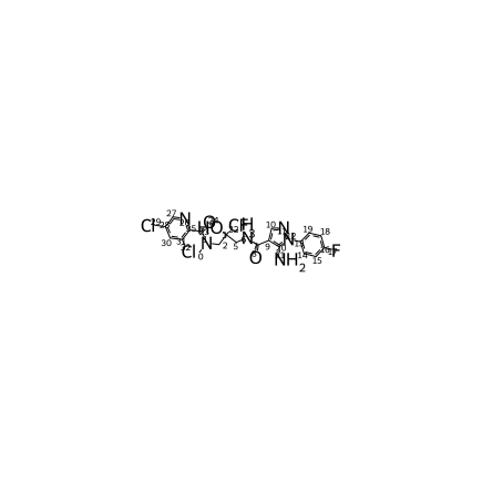 CN(CC(O)(CNC(=O)c1cnn(-c2ccc(F)cc2)c1N)C(F)(F)F)C(=O)c1ncc(Cl)cc1Cl